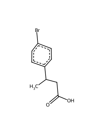 CC(CC(=O)O)c1ccc(Br)cc1